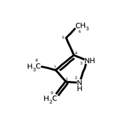 C=C1NNC(CC)=C1C